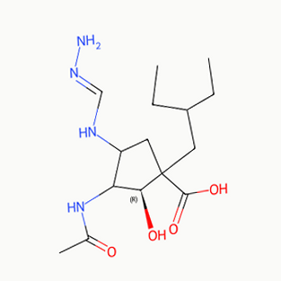 CCC(CC)CC1(C(=O)O)CC(NC=NN)C(NC(C)=O)[C@@H]1O